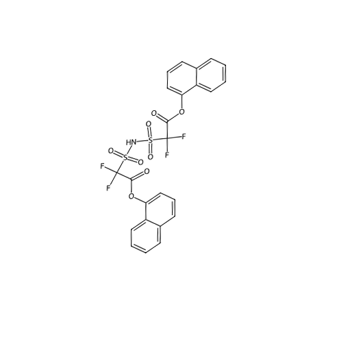 O=C(Oc1cccc2ccccc12)C(F)(F)S(=O)(=O)NS(=O)(=O)C(F)(F)C(=O)Oc1cccc2ccccc12